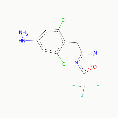 NNc1cc(Cl)c(Cc2noc(C(F)(F)F)n2)c(Cl)c1